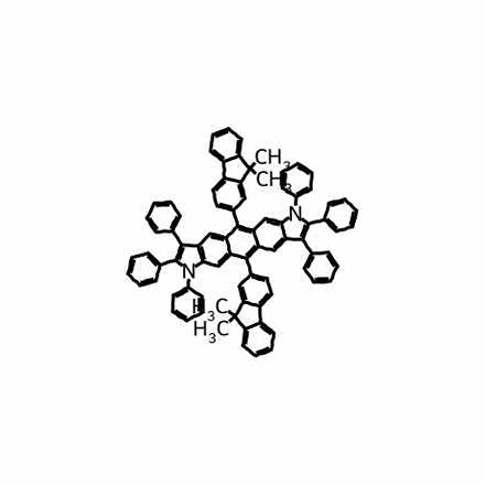 CC1(C)c2ccccc2-c2ccc(-c3c4cc5c(-c6ccccc6)c(-c6ccccc6)n(-c6ccccc6)c5cc4c(-c4ccc5c(c4)C(C)(C)c4ccccc4-5)c4cc5c(-c6ccccc6)c(-c6ccccc6)n(-c6ccccc6)c5cc34)cc21